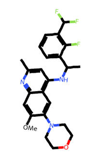 COc1cc2nc(C)cc(NC(C)c3cccc(C(F)F)c3F)c2cc1N1CCOCC1